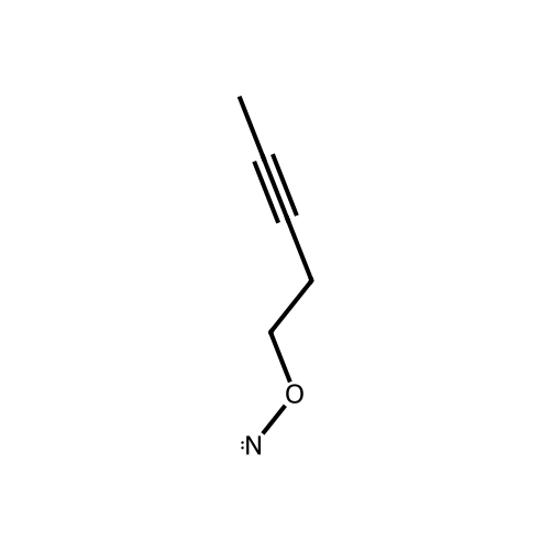 CC#CCCO[N]